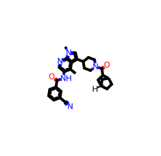 Cc1c(NC(=O)c2cccc(C#N)c2)cnc2c1c(C1CCN(C(=O)C3C[C@H]4CCC3C4)CC1)cn2C